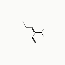 C=C/C(=C\CN)C(F)F